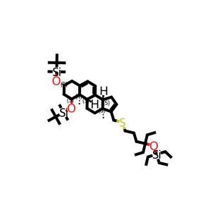 CCC(CC)(CCCSCC1=CC[C@H]2C3=CC=C4C[C@@H](O[Si](C)(C)C(C)(C)C)C[C@H](O[Si](C)(C)C(C)(C)C)[C@]4(C)[C@H]3CC[C@]12C)O[Si](CC)(CC)CC